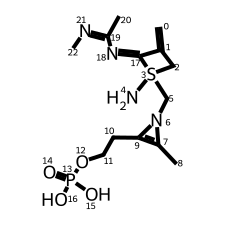 C=C1CS(N)(CN2C(C)=C2CCOP(=O)(O)O)/C1=N/C(C)=N\C